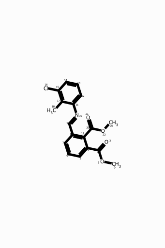 COC(=O)c1cccc(C=Nc2cccc(Cl)c2C)c1C(=O)OC